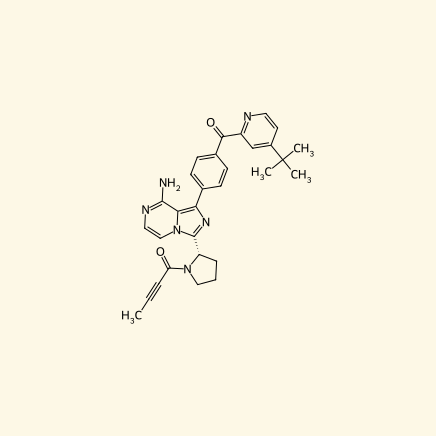 CC#CC(=O)N1CCC[C@H]1c1nc(-c2ccc(C(=O)c3cc(C(C)(C)C)ccn3)cc2)c2c(N)nccn12